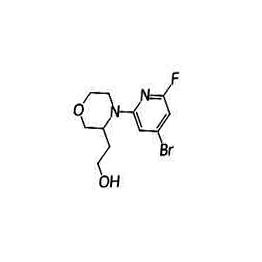 OCCC1COCCN1c1cc(Br)cc(F)n1